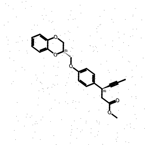 CC#C[C@@H](CC(=O)OC)c1ccc(OC[C@H]2COc3ccccc3O2)cc1